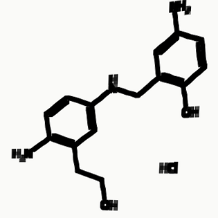 Cl.Nc1ccc(O)c(CNc2ccc(N)c(CCO)c2)c1